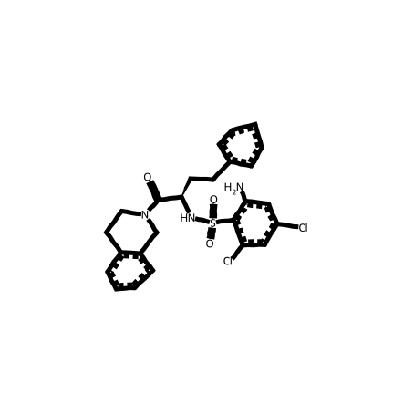 Nc1cc(Cl)cc(Cl)c1S(=O)(=O)N[C@H](CCc1ccccc1)C(=O)N1CCc2ccccc2C1